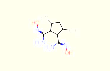 CC1CC(C)C(/C(N)=N\O)C1/C(N)=N/O